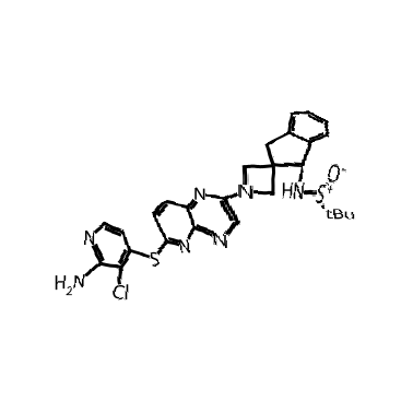 CC(C)(C)[S+]([O-])N[C@@H]1c2ccccc2CC12CN(c1cnc3nc(Sc4ccnc(N)c4Cl)ccc3n1)C2